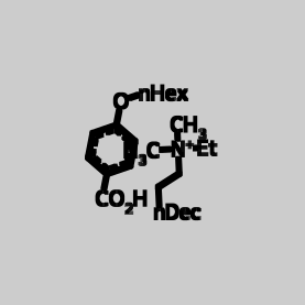 CCCCCCCCCCCC[N+](C)(C)CC.CCCCCCOc1ccc(C(=O)O)cc1